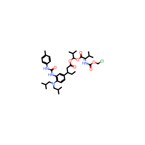 CCC(CC(=O)OC(OC(=O)[C@@H](NC(=O)OCCl)C(C)C)C(C)C)c1ccc(N(CC(C)C)CC(C)C)c(NC(=O)Nc2ccc(C)cc2)c1